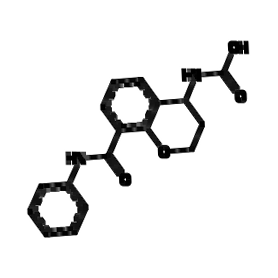 O=C(O)NC1CCOc2c(C(=O)Nc3ccccc3)cccc21